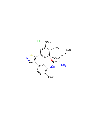 COc1ccc(-c2cnsc2-c2cc(OC)c(OC)c(OC)c2)cc1NC(=O)C(N)CCSC.Cl